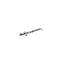 CC(=O)COCC(=O)NCCOCCOCCOCCCN